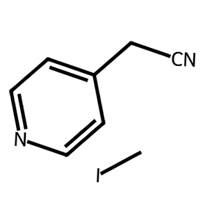 CI.N#CCc1ccncc1